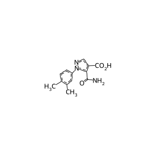 Cc1ccc(-n2ncc(C(=O)O)c2C(N)=O)cc1C